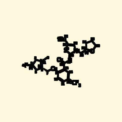 CN1C[C@H](F)C[C@H]1COc1ccc(C(F)(F)F)cc1C(=O)N=c1sc(C(C)(C)C)cn1C[C@H]1CCCO1